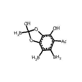 Bc1c(B)c(C(C)=O)c(O)c2c1OC(B)(O)O2